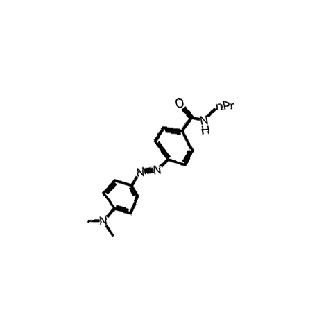 CCCNC(=O)c1ccc(/N=N/c2ccc(N(C)C)cc2)cc1